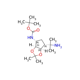 CC(C)(C)OC(=O)N[C@@H]1C[C@H](C(C)(C)N)[C@H]2OC(C)(C)O[C@H]21